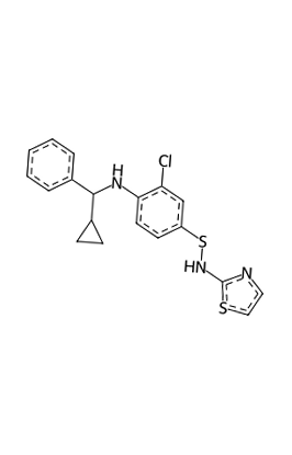 Clc1cc(SNc2nccs2)ccc1NC(c1ccccc1)C1CC1